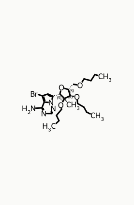 CCCCOC[C@H]1O[C@@H](c2cc(Br)c3c(N)ncnn23)[C@](C)(OCCCC)[C@@H]1OCCCC